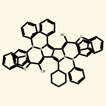 Cc1ccccc1-c1c2/c(=C(\C#N)c3nc4ccccc4o3)n(B(c3ccccc3)c3ccccc3)c(C3CCCCC3)c2/c(=C(\C#N)c2nc3ccccc3o2)n1B(c1ccccc1)c1ccccc1